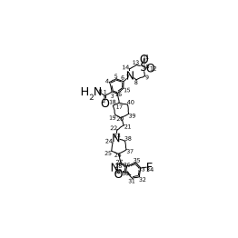 NC(=O)c1ccc(N2CCS(=O)(=O)CC2)cc1C1CCC(CCN2CCC(c3noc4ccc(F)cc34)CC2)CC1